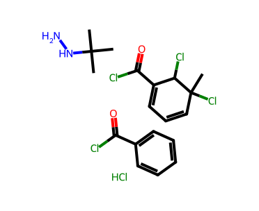 CC(C)(C)NN.CC1(Cl)C=CC=C(C(=O)Cl)C1Cl.Cl.O=C(Cl)c1ccccc1